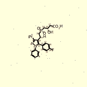 CC(C)c1nn(-c2ccccc2)c(-c2ccc(F)cc2)c1CCP(=O)(O)C[C@@H](O)CC(=O)O